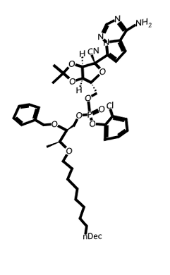 CCCCCCCCCCCCCCCCCCO[C@@H](C)[C@H](COP(=O)(OC[C@H]1O[C@@](C#N)(c2ccc3c(N)ncnn23)[C@@H]2OC(C)(C)O[C@@H]21)Oc1ccccc1Cl)OCc1ccccc1